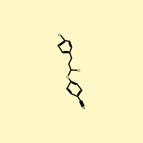 N#Cc1ccc(OC(Cl)CCc2ccc(Cl)cc2)cc1